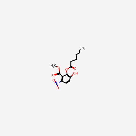 CCCCCC(=O)Oc1c(O)ccc([N+](=O)[O-])c1C(=O)OC